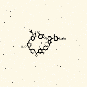 CNc1ccn(-c2ccnc3c2cc(CN2CCC(c4c(F)cc(C(=O)N5CCC(CN6CCN(Cc7ccc8c(c7)n(C7CC7)c(=O)n8[C@@H]7CCC(=O)NC7=O)C[C@@H]6C)CC5)cc4F)CC2)n3C)c(=O)c1